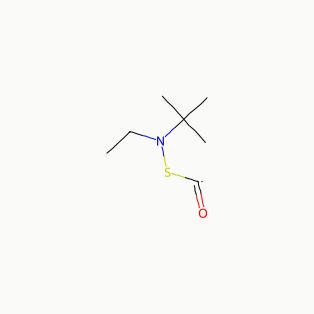 CCN(S[C]=O)C(C)(C)C